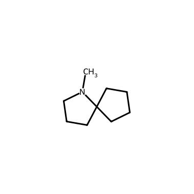 CN1CCCC12CCCC2